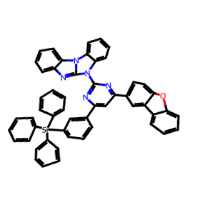 c1ccc([Si](c2ccccc2)(c2ccccc2)c2cccc(-c3cc(-c4ccc5oc6ccccc6c5c4)nc(-n4c5ccccc5n5c6ccccc6nc45)n3)c2)cc1